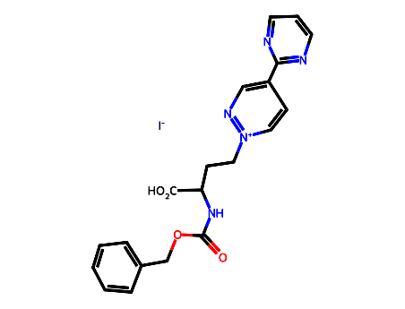 O=C(NC(CC[n+]1ccc(-c2ncccn2)cn1)C(=O)O)OCc1ccccc1.[I-]